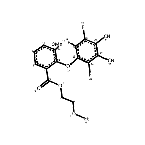 CCOCCOC(=O)c1cccc(OC)c1Oc1c(F)c(F)c(C#N)c(C#N)c1F